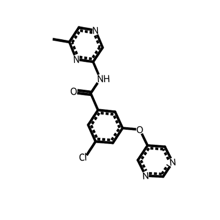 Cc1cncc(NC(=O)c2cc(Cl)cc(Oc3cncnc3)c2)n1